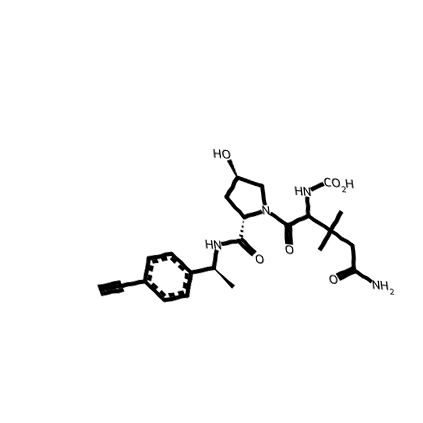 C#Cc1ccc([C@H](C)NC(=O)[C@@H]2C[C@@H](O)CN2C(=O)C(NC(=O)O)C(C)(C)CC(N)=O)cc1